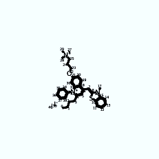 CCCCc1cc(C=C2Sc3ccccc3N2C)c2ccc(OCCC[N+](C)(C)C)cc2[n+]1-c1ccccc1.[I-].[I-]